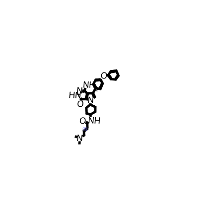 CN(C)C/C=C/C(=O)NC1CCC(n2cc(-c3ccc(Oc4ccccc4)cc3)c3c(N)n[nH]c(=O)c32)CC1